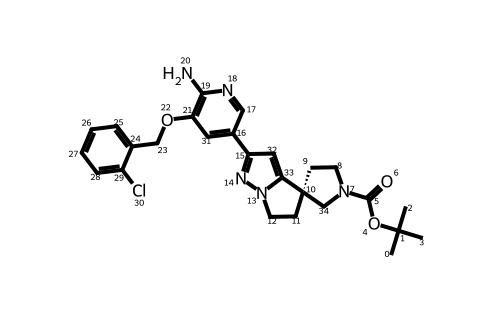 CC(C)(C)OC(=O)N1CC[C@@]2(CCn3nc(-c4cnc(N)c(OCc5ccccc5Cl)c4)cc32)C1